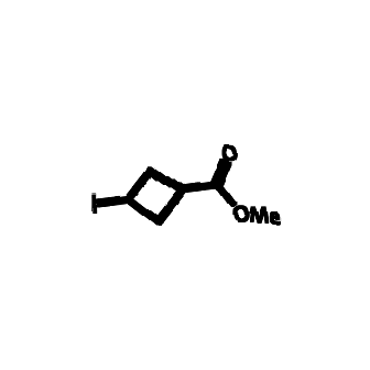 COC(=O)C1CC(I)C1